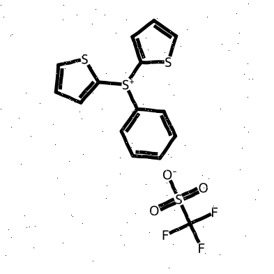 O=S(=O)([O-])C(F)(F)F.c1ccc([S+](c2cccs2)c2cccs2)cc1